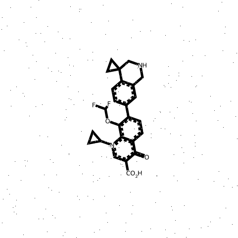 O=C(O)c1cn(C2CC2)c2c(OC(F)F)c(-c3ccc4c(c3)CNCC43CC3)ccc2c1=O